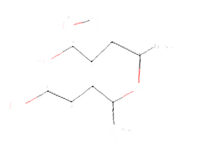 CCCCCCCCCCC(CCCO)OC(CCCO)CCCCCCCCCC.O=S(=O)(O)O